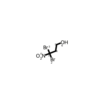 O=[N+]([O-])C(Br)(Br)CCO